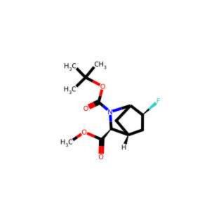 COC(=O)[C@@H]1[C@@H]2CC([C@@H](F)C2)N1C(=O)OC(C)(C)C